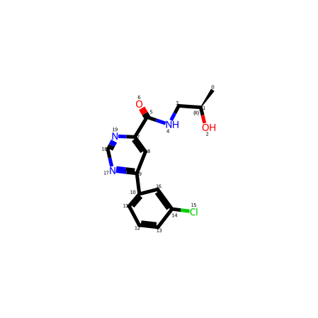 C[C@@H](O)CNC(=O)c1cc(-c2cccc(Cl)c2)ncn1